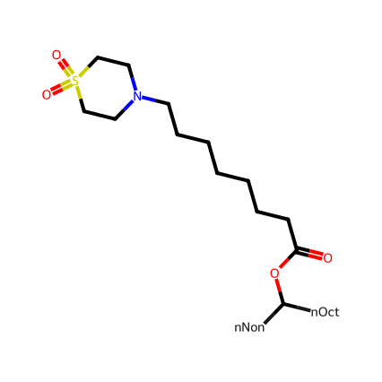 CCCCCCCCCC(CCCCCCCC)OC(=O)CCCCCCCN1CCS(=O)(=O)CC1